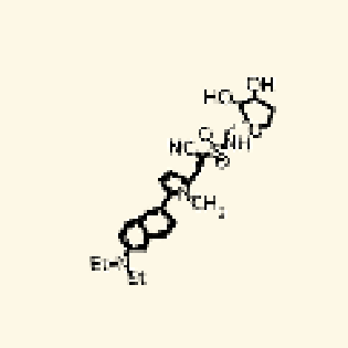 CCN(CC)c1ccc2cc(-c3ccc(/C=C(\C#N)S(=O)(=O)NC[C@H]4OCC[C@@H](O)[C@@H]4O)n3C)ccc2c1